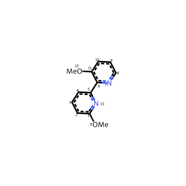 COc1cccc(-c2ncccc2OC)n1